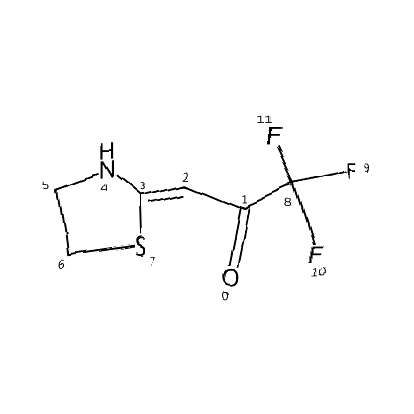 O=C(C=C1NCCS1)C(F)(F)F